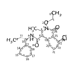 CCOn1c(C)c(C(=O)N[C@@H](CC)c2ccccc2)c2cccc(Cl)c2c1=O